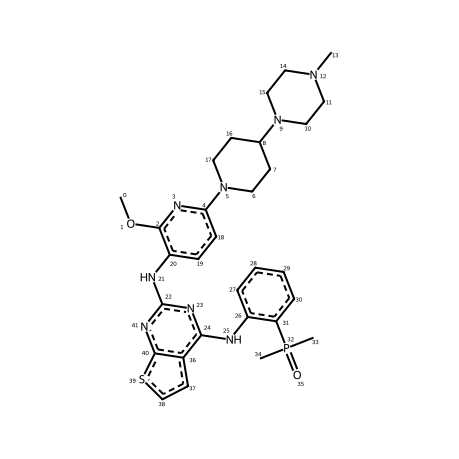 COc1nc(N2CCC(N3CCN(C)CC3)CC2)ccc1Nc1nc(Nc2ccccc2P(C)(C)=O)c2ccsc2n1